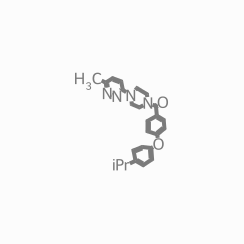 Cc1ccc(N2CCN(C(=O)c3ccc(Oc4ccc(C(C)C)cc4)cc3)CC2)nn1